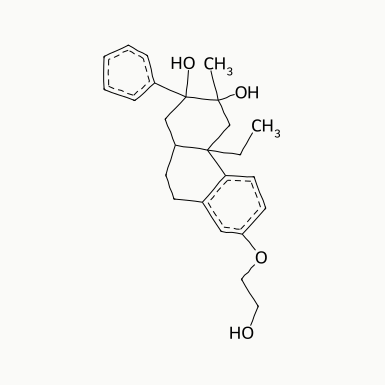 CCC12CC(C)(O)C(O)(c3ccccc3)CC1CCc1cc(OCCO)ccc12